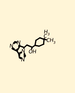 CC1(C)CCC(C(O)CC2c3ncncc3-c3cncn32)CC1